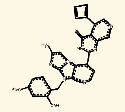 COc1ccc(Cn2c3nccc(-c4nc5cncc(C6=CC=C6)c5c(=O)[nH]4)c3n3cc(C)nc23)c(OC)c1